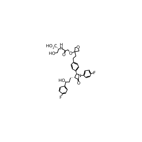 O=C(COC1(CCc2ccc([C@@H]3[C@@H](CC[C@H](O)c4ccc(F)cc4)C(=O)N3c3ccc(F)cc3)cc2)COC1)N[C@H](CO)C(=O)O